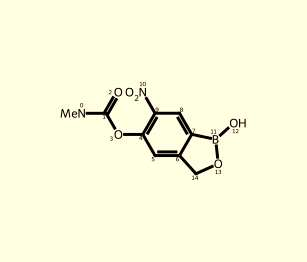 CNC(=O)Oc1cc2c(cc1[N+](=O)[O-])B(O)OC2